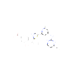 CC(O)(c1ncc(-c2cc(Nc3nccc(C(F)(F)F)n3)cc(Cl)n2)s1)[C@H]1CC[C@H](C(=O)O)CC1